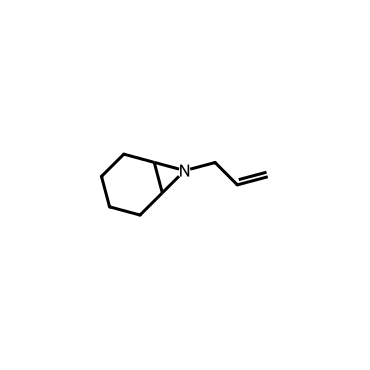 C=CCN1C2CCCCC21